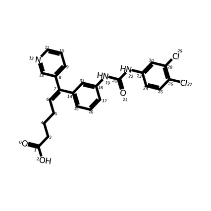 O=C(O)CCCC=C(c1cccnc1)c1cccc(NC(=O)Nc2ccc(Cl)c(Cl)c2)c1